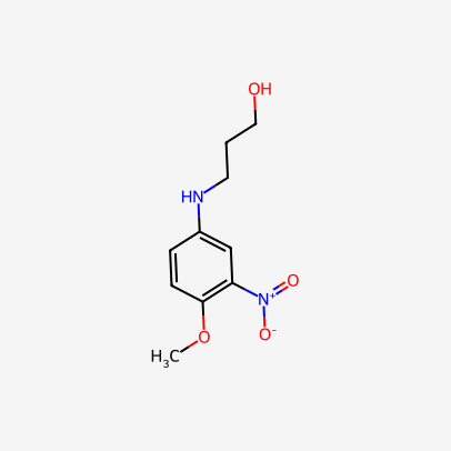 COc1ccc(NCCCO)cc1[N+](=O)[O-]